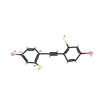 Fc1cc(Br)ccc1C#Cc1ccc(Br)cc1F